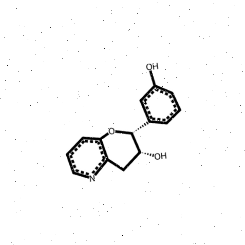 Oc1cccc([C@H]2Oc3cccnc3C[C@H]2O)c1